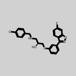 O[C@@H](CNCc1ccc(Cl)cc1)COc1cccc(-c2noc3cc(F)ccc23)c1